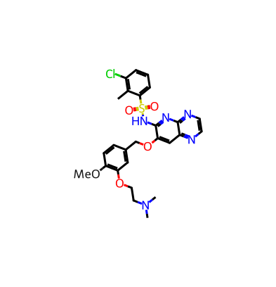 COc1ccc(COc2cc3nccnc3nc2NS(=O)(=O)c2cccc(Cl)c2C)cc1OCCN(C)C